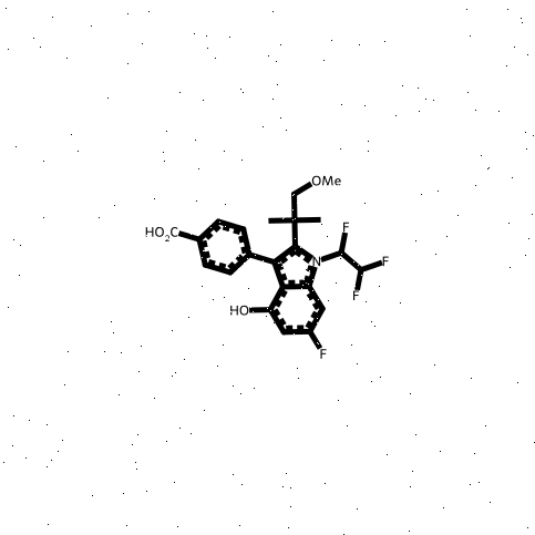 COCC(C)(C)c1c(-c2ccc(C(=O)O)cc2)c2c(O)cc(F)cc2n1C(F)C(F)F